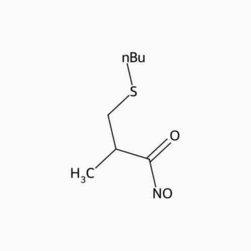 CCCCSCC(C)C(=O)N=O